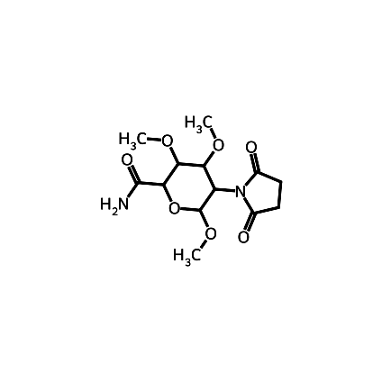 COC1OC(C(N)=O)C(OC)C(OC)C1N1C(=O)CCC1=O